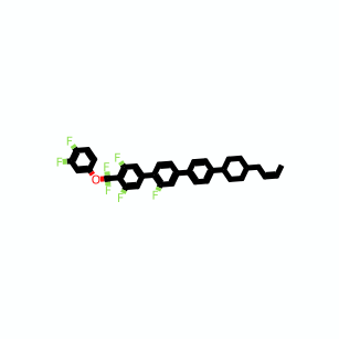 C/C=C\CC1CCC(c2ccc(-c3ccc(-c4cc(F)c(C(F)(F)Oc5ccc(F)c(F)c5)c(F)c4)c(F)c3)cc2)CC1